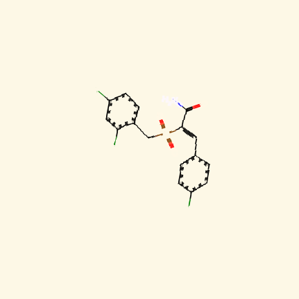 NC(=O)/C(=C/c1ccc(Br)cc1)S(=O)(=O)Cc1ccc(Cl)cc1Cl